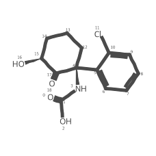 O=C(O)N[C@]1(c2ccccc2Cl)CCC[C@H](O)C1=O